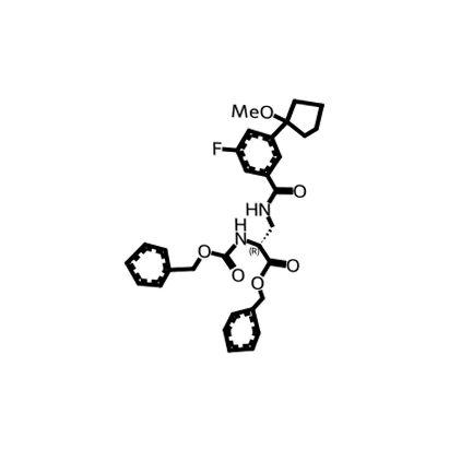 COC1(c2cc(F)cc(C(=O)NC[C@@H](NC(=O)OCc3ccccc3)C(=O)OCc3ccccc3)c2)CCCC1